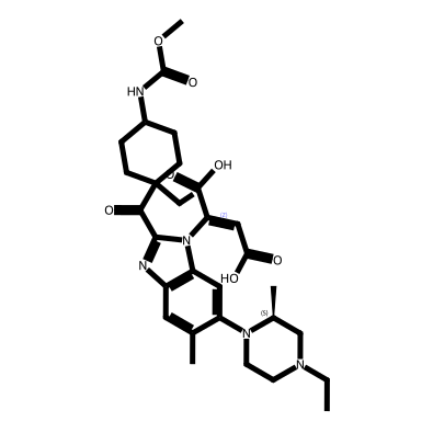 CCN1CCN(c2cc3c(cc2C)nc(C(=O)C2(CC)CCC(NC(=O)OC)CC2)n3/C(=C\C(=O)O)C(=O)O)[C@@H](C)C1